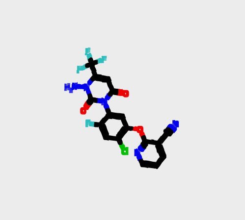 N#Cc1cccnc1Oc1cc(-n2c(=O)cc(C(F)(F)F)n(N)c2=O)c(F)cc1Cl